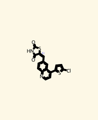 O=C1NC(=O)/C(=C\c2ccc3nccc(-c4ccc(Cl)s4)c3c2)S1